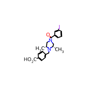 C[C@@H]1CN(C(=O)c2cccc(I)c2)C[C@H](C)N1Cc1ccc(C(=O)O)cc1